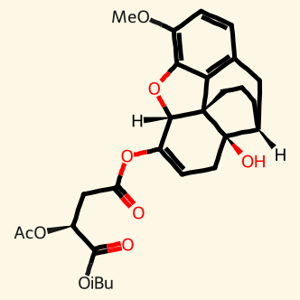 COc1ccc2c3c1O[C@H]1C(OC(=O)C[C@H](OC(C)=O)C(=O)OCC(C)C)=CC[C@@]4(O)[C@H](CCC[C@]314)C2